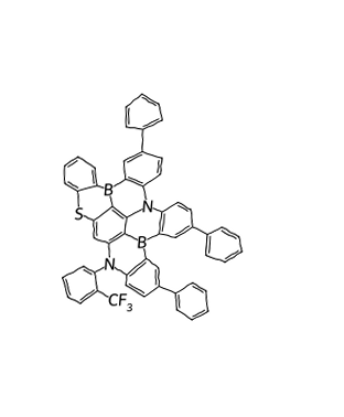 FC(F)(F)c1ccccc1N1c2ccc(-c3ccccc3)cc2B2c3cc(-c4ccccc4)ccc3N3c4ccc(-c5ccccc5)cc4B4c5ccccc5Sc5cc1c2c3c54